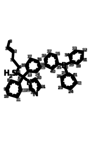 CC=CCC[SiH2]C(c1ccccc1)(c1ccccc1)n1ccnc1.c1ccc(B(c2ccccc2)c2ccccc2)cc1